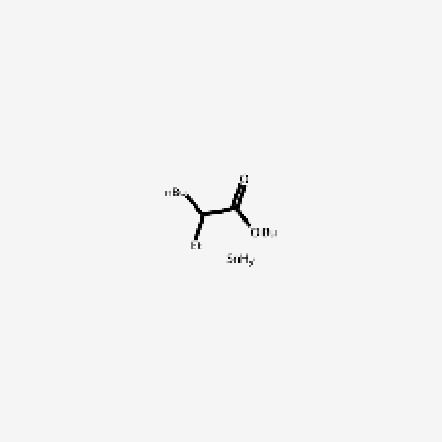 CCCCC(CC)C(=O)OCC(C)C.[SnH2]